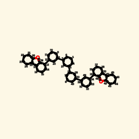 c1cc(-c2cccc(-c3cccc(-c4cccc5c4oc4ccccc45)c3)c2)cc(-c2cccc(-c3cccc4c3oc3ccccc34)c2)c1